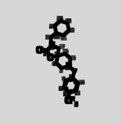 O=C1OC2(CCN(Cc3ccc(C(F)(F)F)cc3)CC2)CN1CC1CCCCC1